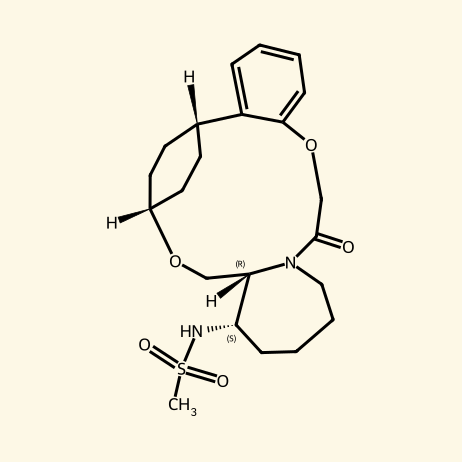 CS(=O)(=O)N[C@H]1CCCCN2C(=O)COc3ccccc3[C@H]3CC[C@H](CC3)OC[C@@H]12